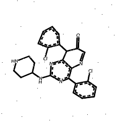 O=C1C=Nc2c(-c3ccccc3Cl)nc(NC3CCNCC3)nc2C1c1ccccc1Cl